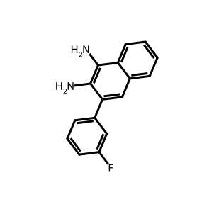 Nc1c(-c2cccc(F)c2)cc2ccccc2c1N